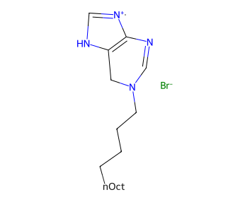 CCCCCCCCCCCCN1C=NC2=C(C1)NC=[N+]2.[Br-]